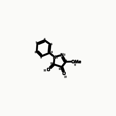 COC1=NN(c2ccccc2)C(=O)C1=O